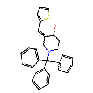 OC1CCN(C(c2ccccc2)(c2ccccc2)c2ccccc2)C/C1=C/c1cccs1